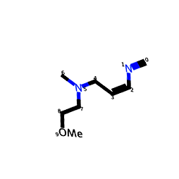 C=N/C=C\CN(C)CCOC